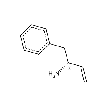 C=C[C@H](N)Cc1ccccc1